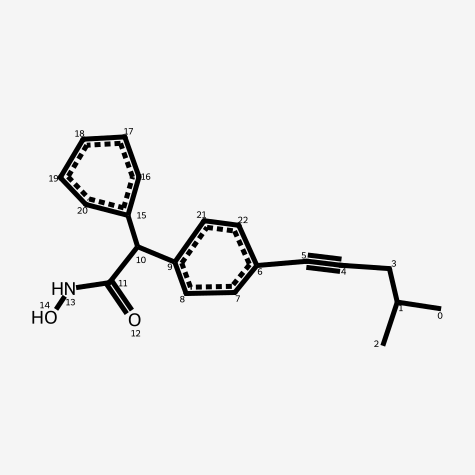 CC(C)CC#Cc1ccc(C(C(=O)NO)c2ccccc2)cc1